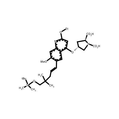 CCOc1cc(O[C@@H]2C[C@@H](C(=O)O)N(C(=O)O)C2)c2cc(/C=C/CC(C)(C)CO[Si](C)(C)C(C)(C)C)c(OC)cc2n1